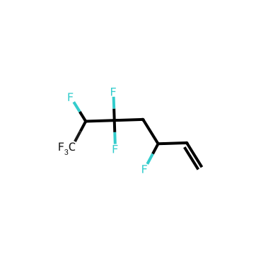 C=CC(F)CC(F)(F)C(F)C(F)(F)F